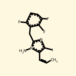 C/C=C\c1c(I)nc(Cc2c(F)ccc(F)c2F)n1N